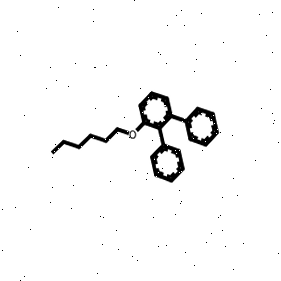 CCCCCCOc1cccc(-c2ccccc2)c1-c1ccccc1